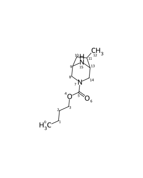 CCCCOC(=O)N1CC2CC(C)C(C1)N2